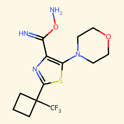 N=C(ON)c1nc(C2(C(F)(F)F)CCC2)sc1N1CCOCC1